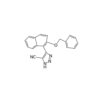 N#Cc1[nH]nnc1-c1c(OCc2ccccc2)ccc2ccccc12